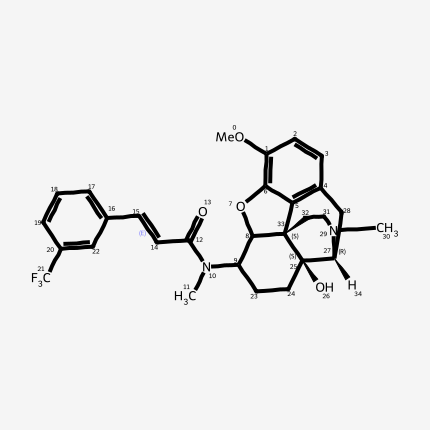 COc1ccc2c3c1OC1C(N(C)C(=O)/C=C/c4cccc(C(F)(F)F)c4)CC[C@@]4(O)[C@@H](C2)N(C)CC[C@]314